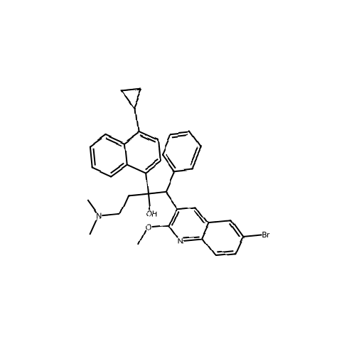 COc1nc2ccc(Br)cc2cc1C(c1ccccc1)C(O)(CCN(C)C)c1ccc(C2CC2)c2ccccc12